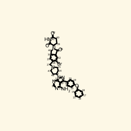 Nc1ncnc2c1c(-c1ccc(Oc3ccccc3)cc1)nn2C1CCN(Cc2cc3c(cc2Br)C(=O)N(C2CCC(=O)NC2=O)C3)CC1